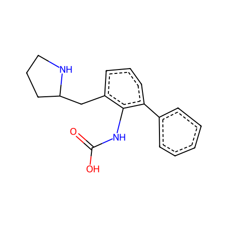 O=C(O)Nc1c(CC2CCCN2)cccc1-c1ccccc1